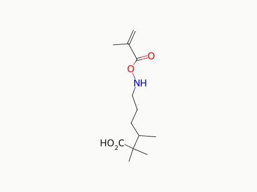 C=C(C)C(=O)ONCCCC(C)C(C)(C)C(=O)O